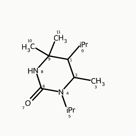 CC(C)C1C(C)N(C(C)C)C(=O)NC1(C)C